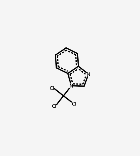 ClC(Cl)(Cl)n1cnc2ccccc21